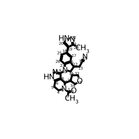 CC(=O)N1CCc2[nH]nc(N3CC(CC#N)c4cc(-c5c[nH]nc5C)ccc43)c2C1C1CCOC1